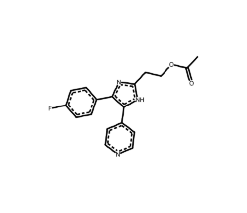 CC(=O)OCCc1nc(-c2ccc(F)cc2)c(-c2ccncc2)[nH]1